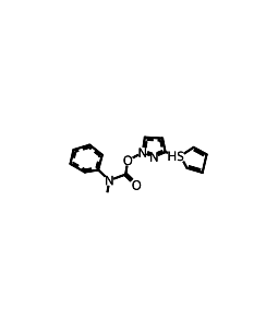 CN(C(=O)On1ccc([SH]2C=CC=C2)n1)c1ccccc1